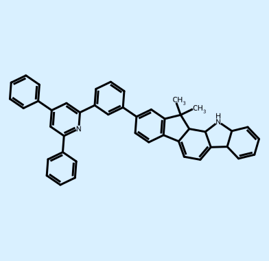 CC1(C)c2cc(-c3cccc(-c4cc(-c5ccccc5)cc(-c5ccccc5)n4)c3)ccc2C2=CC=C3C4C=CC=CC4NC3C21